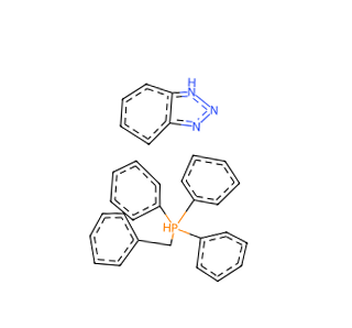 c1ccc(C[PH](c2ccccc2)(c2ccccc2)c2ccccc2)cc1.c1ccc2[nH]nnc2c1